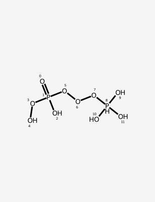 O=P(O)(OO)OOO[PH](O)(O)O